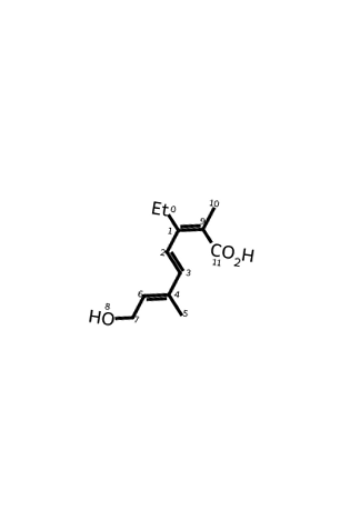 CCC(C=CC(C)=CCO)=C(C)C(=O)O